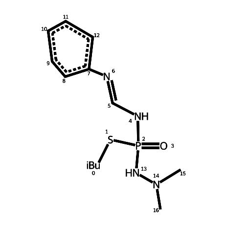 CCC(C)SP(=O)(NC=Nc1ccccc1)NN(C)C